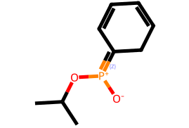 CC(C)O/[P+]([O-])=C1\C=CC=CC1